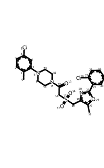 Cc1ccc(Cl)cc1N1CCN(C(=O)CS(=O)(=O)Cc2nc(-c3ccccc3Cl)oc2C)CC1